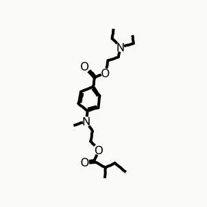 CCC(C)C(=O)OCCN(C)c1ccc(C(=O)OCCN(CC)CC)cc1